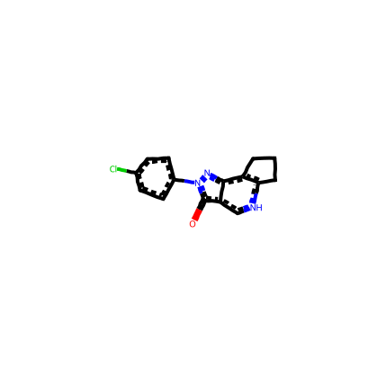 O=c1c2c[nH]c3c(c-2nn1-c1ccc(Cl)cc1)CCC3